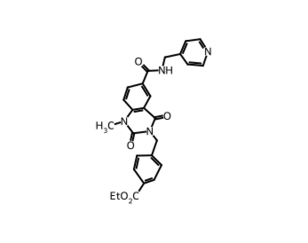 CCOC(=O)c1ccc(Cn2c(=O)c3cc(C(=O)NCc4ccncc4)ccc3n(C)c2=O)cc1